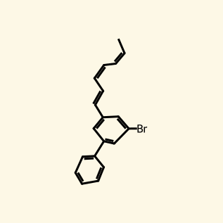 C\C=C/C=C\C=C\c1cc(Br)cc(-c2ccccc2)c1